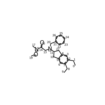 CCc1cc2c(cc1CC)CC(N(CC(=O)N(C)OC)Cc1ccccc1)C2